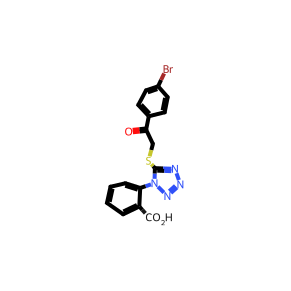 O=C(CSc1nnnn1-c1ccccc1C(=O)O)c1ccc(Br)cc1